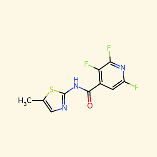 Cc1cnc(NC(=O)c2cc(F)nc(F)c2F)s1